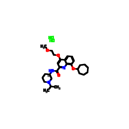 COCCOc1cc(C(=O)N[C@@H]2CCCN(C(C)C)C2)nc2c(OC3CCCCCC3)cccc12.Cl.Cl